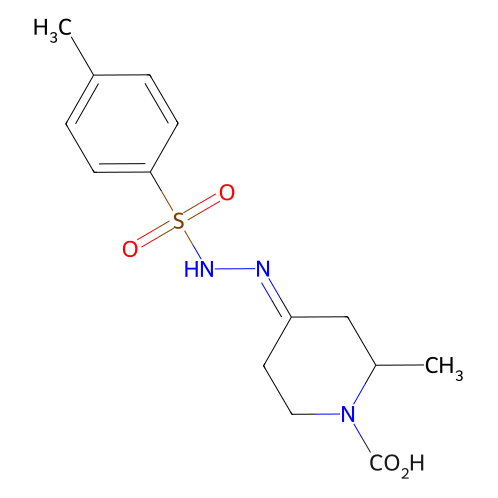 Cc1ccc(S(=O)(=O)NN=C2CCN(C(=O)O)C(C)C2)cc1